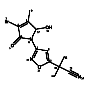 CC1=C(Br)C(=O)N(c2cc(C(C)(C)C#N)on2)C1O